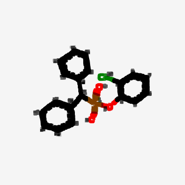 O=S(=O)(Oc1ccccc1Cl)C(c1ccccc1)c1ccccc1